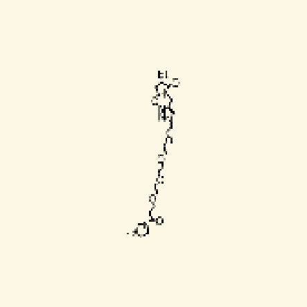 CCC1CC(=O)N(Cc2cn(CCOCCOCCOCCOCCC(=O)N3CC[C@H](C)C3)nn2)C1=O